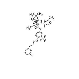 CC1=NC(CCc2ccc(OCCCc3cccc(F)c3)c(C(F)(F)F)c2)(COP(=O)(OC(C)(C)C)OC(C)(C)C)CO1